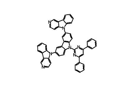 c1ccc(-c2cc(-c3ccccc3)nc(-n3c4ccc(-n5c6ccccc6c6cnccc65)cc4c4cc(-n5c6ccccc6c6cnccc65)ccc43)n2)cc1